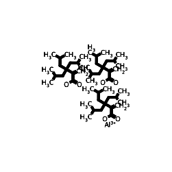 C=C(C(=O)[O-])C(CC(C)C)(CC(C)C)CC(C)C.C=C(C(=O)[O-])C(CC(C)C)(CC(C)C)CC(C)C.C=C(C(=O)[O-])C(CC(C)C)(CC(C)C)CC(C)C.[Al+3]